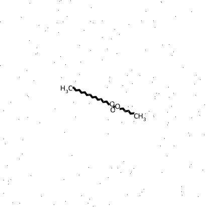 CCCCCCCCCCCCCCCOC(=O)OCCCCCCC